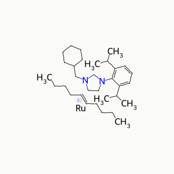 CC(C)c1cccc(C(C)C)c1N1CCN(CC2CCCCC2)C1.CCCC/C=C/CCCC.[Ru]